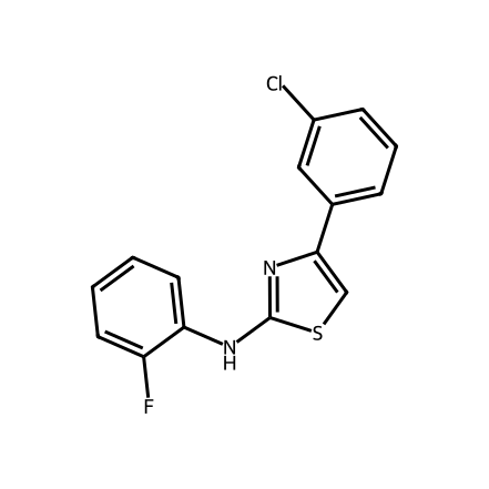 Fc1ccccc1Nc1nc(-c2cccc(Cl)c2)cs1